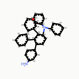 Nc1ccc(-c2ccc(N(c3ccccc3)c3ccccc3)c(-c3ccccc3)c2-c2ccccc2)cc1